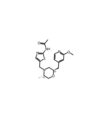 COc1cc(C[C@@H]2CN(Cc3cnc(NC(C)=O)s3)[C@@H](C)CO2)ccn1